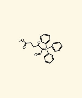 COC(=O)CCC(=O)C(C=O)=P(c1ccccc1)(c1ccccc1)c1ccccc1